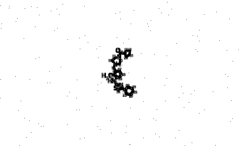 Cc1c(CN2CCN(C(=O)C3CCCC3)CC2)cccc1Nc1nc(-c2ccccc2)cs1